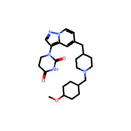 COC1CCC(CN2CCC(Cc3ccn4ncc(N5CCC(=O)NC5=O)c4c3)CC2)CC1